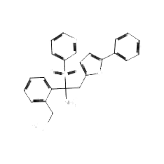 NC(Cc1ccc(-c2ccccc2)o1)(c1ccccc1CC(=O)O)S(=O)(=O)c1cccnc1